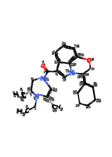 CCN1[C@H](C)CN(C(=O)c2cn3c4c(cccc24)OC[C@H]3C2CCCCC2)C[C@@H]1C